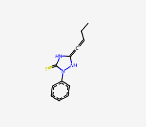 CCC=C=C1NC(=S)N(c2ccccc2)N1